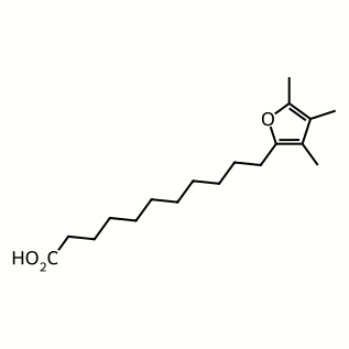 Cc1oc(CCCCCCCCCCC(=O)O)c(C)c1C